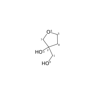 OCC1(O)CCOC1